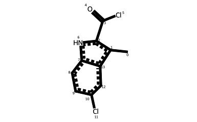 Cc1c(C(=O)Cl)[nH]c2ccc(Cl)cc12